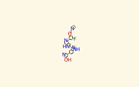 Oc1cncc(-c2ccc3[nH]nc(-c4cc5c(-c6cc(F)cc(OCCN7CCCC7)c6)nccc5[nH]4)c3c2)c1